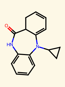 O=C1Nc2ccccc2N(C2CC2)C2=CC=CCC12